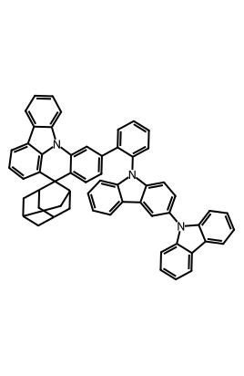 c1ccc(-n2c3ccccc3c3cc(-n4c5ccccc5c5ccccc54)ccc32)c(-c2ccc3c(c2)-n2c4ccccc4c4cccc(c42)C32C3CC4CC(C3)CC2C4)c1